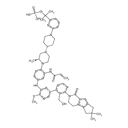 C=CC(=O)Nc1cc(Nc2nc(-c3ccnc(N4CCn5c(cc6c5CC(C)(C)C6)C4=O)c3CO)cnc2OC)ccc1N1CCN(C2CCN(c3cccc(C(C)(C)OP(=O)(O)O)n3)CC2)C[C@@H]1C